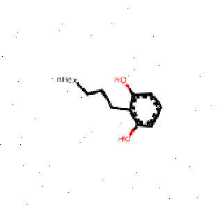 CCCCCCCCCc1c(O)cccc1O